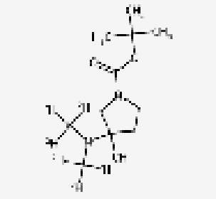 [2H]C([2H])([2H])N(C([2H])([2H])[2H])C1(C)CCN(C(=O)OC(C)(C)C)C1